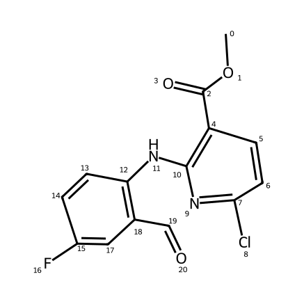 COC(=O)c1ccc(Cl)nc1Nc1ccc(F)cc1C=O